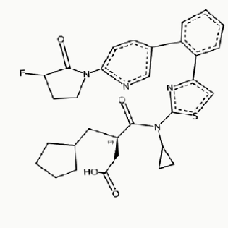 O=C(O)C[C@@H](CC1CCCC1)C(=O)N(c1nc(-c2ccccc2-c2ccc(N3CCC(F)C3=O)nc2)cs1)C1CC1